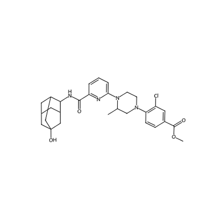 COC(=O)c1ccc(N2CCN(c3cccc(C(=O)NC4C5CC6CC4CC(O)(C6)C5)n3)C(C)C2)c(Cl)c1